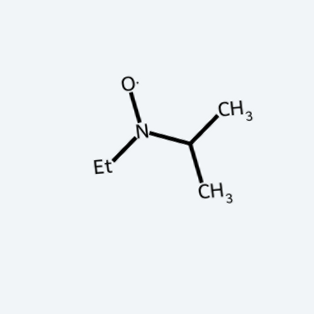 CCN([O])C(C)C